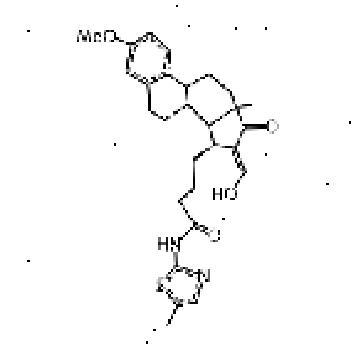 COc1ccc2c(c1)CCC1C2CC[C@]2(C)C(=O)/C(=C/O)[C@@H](CCCC(=O)Nc3ncc(C)s3)C12